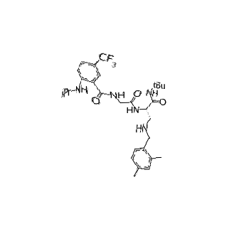 Cc1ccc(CNC[C@H](NC(=O)CNC(=O)c2cc(C(F)(F)F)ccc2NC(C)C)C(=O)NC(C)(C)C)c(C)c1